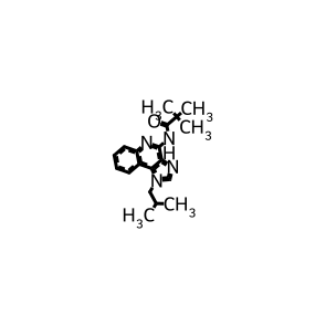 CC(C)Cn1cnc2c(NC(=O)C(C)(C)C)nc3ccccc3c21